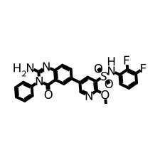 COc1ncc(-c2ccc3nc(N)n(-c4ccccc4)c(=O)c3c2)cc1S(=O)(=O)Nc1cccc(F)c1F